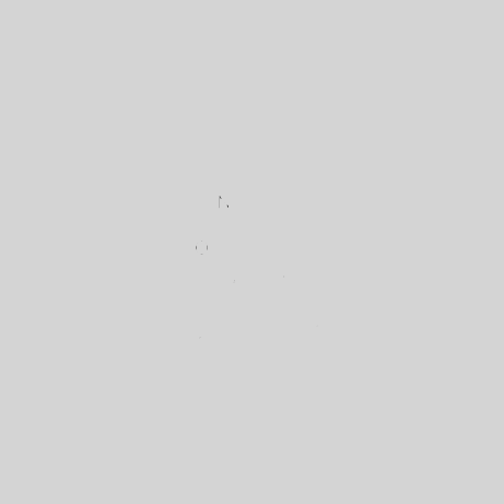 C/C=N/Oc1ccccc1